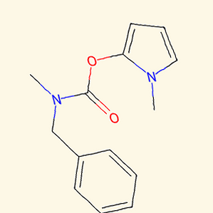 CN(Cc1ccccc1)C(=O)Oc1cccn1C